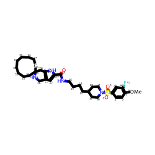 COc1ccc(S(=O)(=O)N2CCC(CCCCNC(=O)c3cc4c([nH]3)CC3(CCCCCCCCC3)NC4)CC2)cc1F